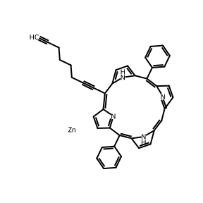 C#CCCCCC#Cc1c2nc(c(-c3ccccc3)c3ccc(cc4nc(c(-c5ccccc5)c5ccc1[nH]5)C=C4)[nH]3)C=C2.[Zn]